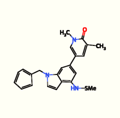 CSNc1cc(-c2cc(C)c(=O)n(C)c2)cc2c1ccn2Cc1ccccc1